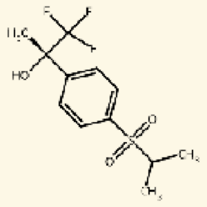 CC(C)S(=O)(=O)c1ccc([C@](C)(O)C(F)(F)F)cc1